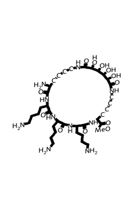 COC(=O)C1CCCCNC(=O)C(O)C(O)C(O)C(O)C(=O)NCCCCC(N)C(=O)NC(CCCCN)C(=O)NC(CCCCN)C(=O)NC(CCCCN)C(=O)N1